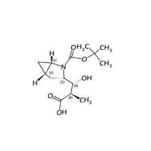 C[C@@H](C(=O)O)[C@@H](O)[C@@H]1C[C@@H]2C[C@@H]2N1C(=O)OC(C)(C)C